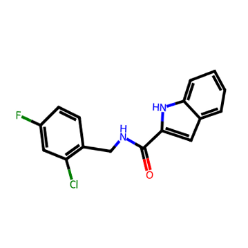 O=C(NCc1ccc(F)cc1Cl)c1cc2ccccc2[nH]1